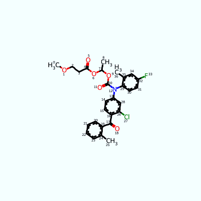 COCCC(=O)OC(C)OC(=O)N(c1ccc(C(=O)c2ccccc2C)c(Cl)c1)c1ccc(F)cc1C